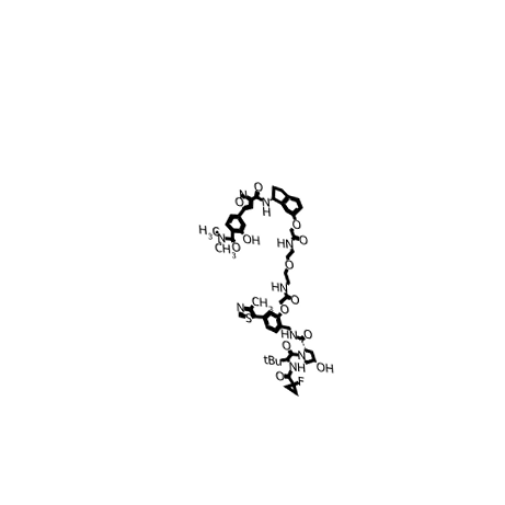 Cc1ncsc1-c1ccc(CNC(=O)[C@@H]2C[C@@H](O)CN2C(=O)C(NC(=O)C2(F)CC2)C(C)(C)C)c(OCC(=O)NCCOCCNC(=O)COc2ccc3c(c2)[C@H](NC(=O)c2cc(-c4ccc(C(=O)N(C)C)c(O)c4)on2)CC3)c1